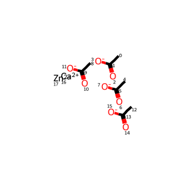 CC(=O)[O-].CC(=O)[O-].CC(=O)[O-].CC(=O)[O-].[Ca+2].[Zn+2]